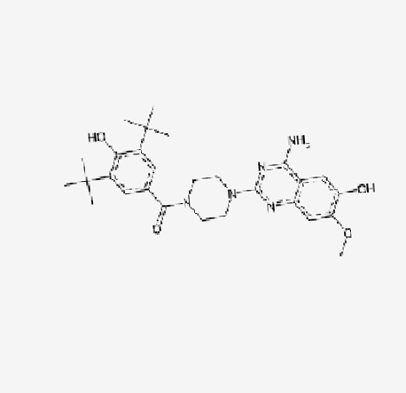 COc1cc2nc(N3CCN(C(=O)c4cc(C(C)(C)C)c(O)c(C(C)(C)C)c4)CC3)nc(N)c2cc1O